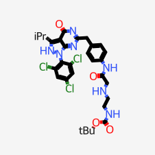 CC(C)c1[nH]n(-c2c(Cl)cc(Cl)cc2Cl)c2nc(Cc3ccc(NC(=O)CNCCNC(=O)OC(C)(C)C)cc3)nc(=O)c1-2